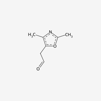 Cc1nc(C)c(CC=O)o1